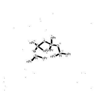 CCC[SiH](CCC)O[Si](CCC)(CCC)S[Si](CCC)(CCC)O[SiH](CCC)CCC